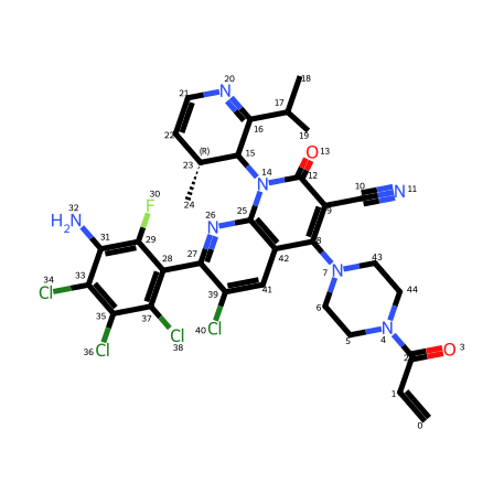 C=CC(=O)N1CCN(c2c(C#N)c(=O)n(C3C(C(C)C)=NC=C[C@H]3C)c3nc(-c4c(F)c(N)c(Cl)c(Cl)c4Cl)c(Cl)cc23)CC1